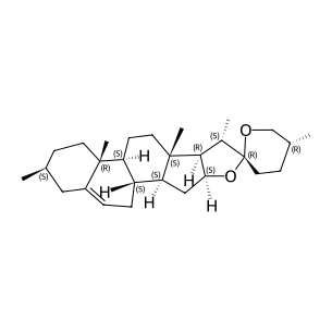 C[C@@H]1CC[C@@]2(OC1)O[C@H]1C[C@H]3[C@@H]4CC=C5C[C@@H](C)CC[C@]5(C)[C@H]4CC[C@]3(C)[C@H]1[C@@H]2C